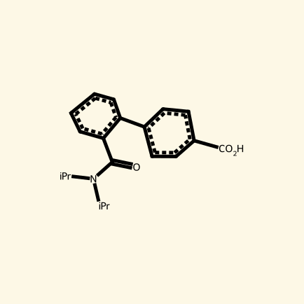 CC(C)N(C(=O)c1ccccc1-c1ccc(C(=O)O)cc1)C(C)C